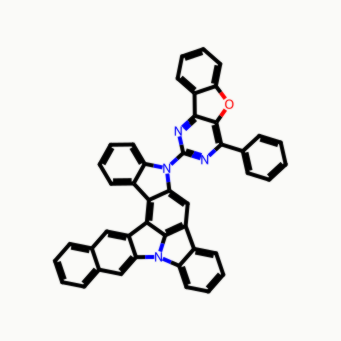 c1ccc(-c2nc(-n3c4ccccc4c4c5c6cc7ccccc7cc6n6c7ccccc7c(cc43)c56)nc3c2oc2ccccc23)cc1